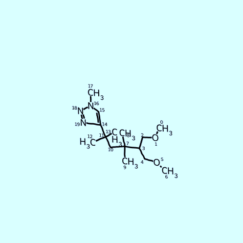 COCC(COC)C(C)(C)CC(C)(C)c1cn(C)nn1